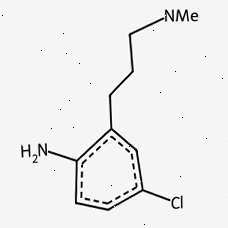 CNCCCc1cc(Cl)ccc1N